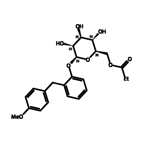 CCC(=O)OC[C@H]1O[C@@H](Oc2ccccc2Cc2ccc(OC)cc2)[C@H](O)[C@@H](O)[C@@H]1O